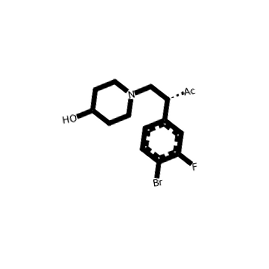 CC(=O)[C@@H](CN1CCC(O)CC1)c1ccc(Br)c(F)c1